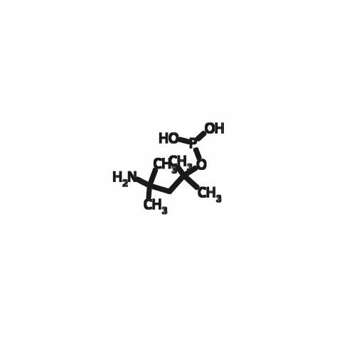 CC(C)(N)CC(C)(C)OP(O)O